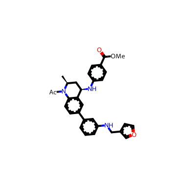 COC(=O)c1ccc(N[C@@H]2C[C@H](C)N(C(C)=O)c3ccc(-c4cccc(NCc5ccoc5)c4)cc32)cc1